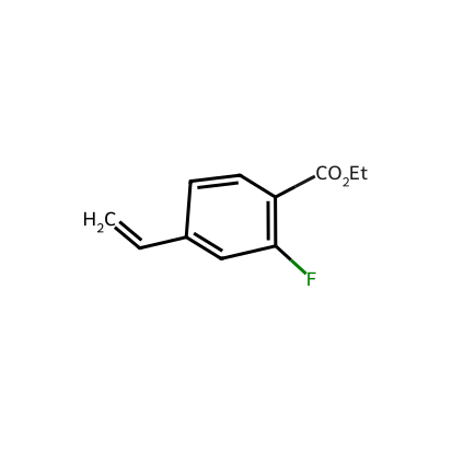 C=Cc1ccc(C(=O)OCC)c(F)c1